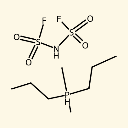 CCC[PH](C)(C)CCC.O=S(=O)(F)NS(=O)(=O)F